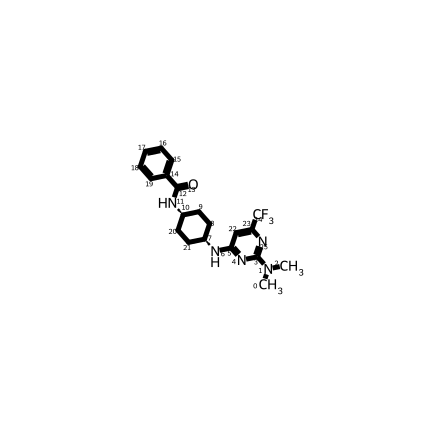 CN(C)c1nc(N[C@H]2CC[C@@H](NC(=O)c3ccccc3)CC2)cc(C(F)(F)F)n1